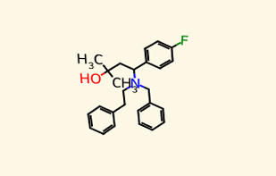 CC(C)(O)CC(c1ccc(F)cc1)N(CCc1ccccc1)Cc1ccccc1